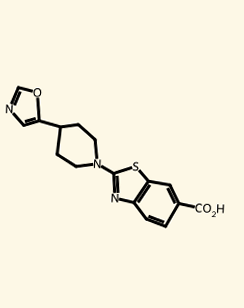 O=C(O)c1ccc2nc(N3CCC(c4cnco4)CC3)sc2c1